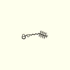 FC(F)(F)C(F)(F)C(F)(F)C(F)(F)CCCCCCCOCC1CCCCO1